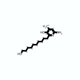 Cc1cc(N)nc(CCCCCCCCCCO)c1O